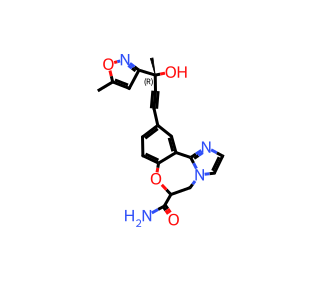 Cc1cc([C@](C)(O)C#Cc2ccc3c(c2)-c2nccn2CC(C(N)=O)O3)no1